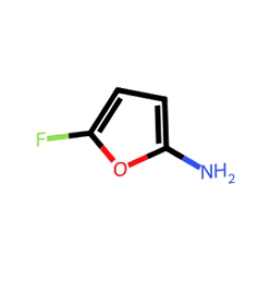 Nc1ccc(F)o1